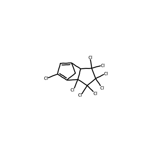 ClC1=C2CC(=C1)C1C(Cl)(Cl)C(Cl)(Cl)C(Cl)(Cl)C21Cl